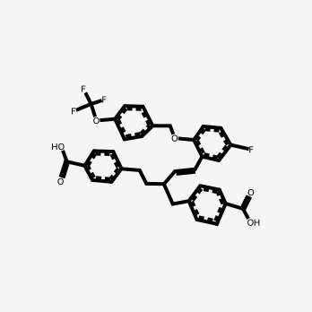 O=C(O)c1ccc(CCC(/C=C/c2cc(F)ccc2OCc2ccc(OC(F)(F)F)cc2)Cc2ccc(C(=O)O)cc2)cc1